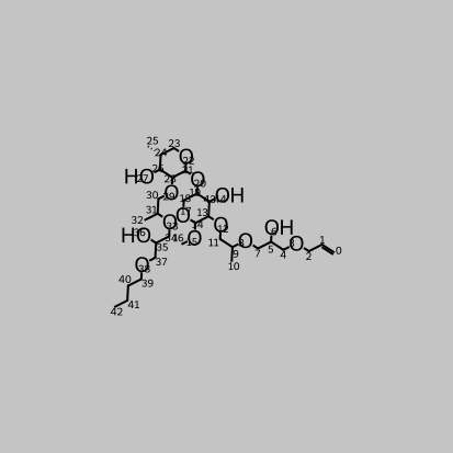 C=CCOCC(O)COC(C)COC1C(OC)OCC(OC2OC[C@@H](C)C(O)C2OCC(C)OCC(O)COCCCC)C1O